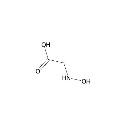 O=C(O)CNO